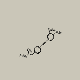 COc1ccc(C#Cc2ccc(CC(C)NC(C)=O)cc2)cc1OC